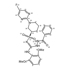 COc1cccc(OC)c1N/C(=N/S(=O)(=O)[C@@H]1CCCN(c2ncc(F)cn2)C1)NNC(=O)c1ccccc1